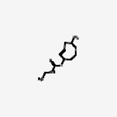 CCNC(=O)OC1/C=C/CC(N)CCC1